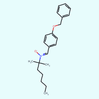 CCCCCC(C)(C)[N+]([O-])=Cc1ccc(OCc2ccccc2)cc1